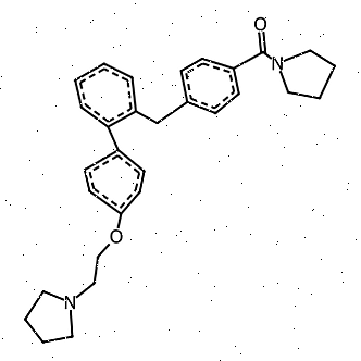 O=C(c1ccc(Cc2ccccc2-c2ccc(OCCN3CCCC3)cc2)cc1)N1CCCC1